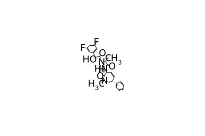 C[C@H](NC(=O)[C@H](O)c1cc(F)cc(F)c1)C(=O)N[C@H]1C=C[C@H](c2ccccc2)CN(C)C1=O